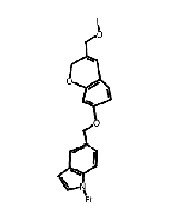 CCn1ccc2cc(COc3ccc4c(c3)OCC(COI)=C4)ccc21